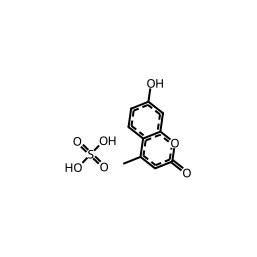 Cc1cc(=O)oc2cc(O)ccc12.O=S(=O)(O)O